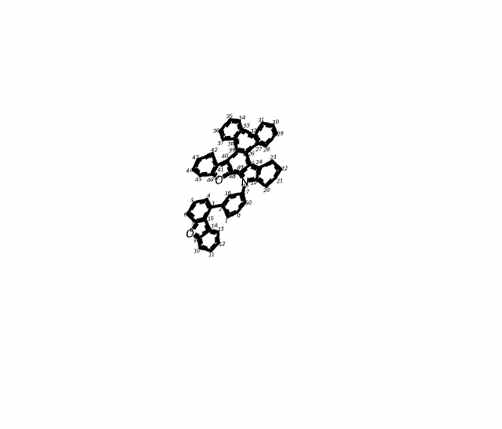 c1cc(-c2cccc3oc4ccccc4c23)cc(-n2c3ccccc3c3c4c5ccccc5c5ccccc5c4c4c5ccccc5oc4c32)c1